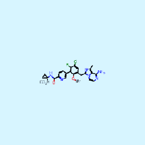 Cc1nc(Cc2cc(Cl)c(F)c(-c3ccc(C(=O)NC4(C(=O)O)CC4)nc3)c2OC(C)C)n2ccnc(N)c12